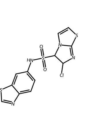 O=S(=O)(Nc1ccc2ncsc2c1)C1C(Cl)N=C2SC=CN21